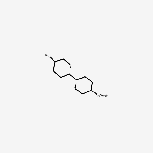 CCCCC[C@H]1CC[C@H]([C@H]2CC[C@H](C(C)=O)CC2)CC1